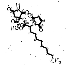 CCCCCCCCCC(C(=O)OC1(S(=O)(=O)O)CC(=O)NC1=O)N1C(=O)C=CC1=O